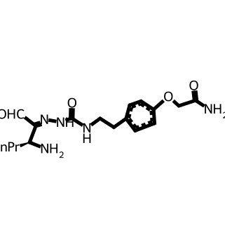 CCC[C@H](N)/C(C=O)=N\NC(=O)NCCc1ccc(OCC(N)=O)cc1